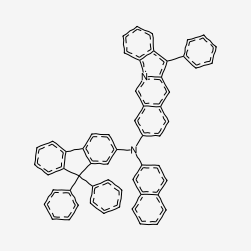 c1ccc(-c2c3ccccc3n3cc4cc(N(c5ccc6c(c5)C(c5ccccc5)(c5ccccc5)c5ccccc5-6)c5ccc6ccccc6c5)ccc4cc23)cc1